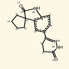 O=C1CCC(c2ccc3c(c2)C2(CCCC2)C(=O)N3)=NN1